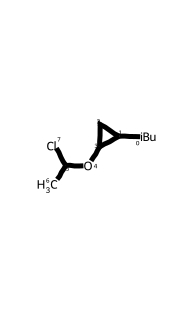 CCC(C)C1CC1O[C](C)Cl